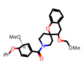 COCOC1Cc2ccccc2OC12CCN(C(=O)C1=C[C@@H](OC)C(OC(C)C)C=C1)CC2